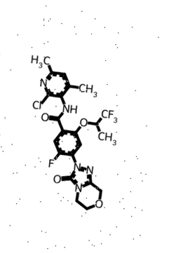 Cc1cc(C)c(NC(=O)c2cc(F)c(-n3nc4n(c3=O)CCOC4)cc2OC(C)C(F)(F)F)c(Cl)n1